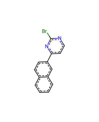 Brc1nccc(-c2ccc3ccccc3c2)n1